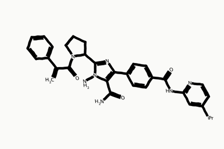 C=C(C(=O)N1CCCC1c1nc(-c2ccc(C(=O)Nc3cc(C(C)C)ccn3)cc2)c(C(N)=O)n1N)c1ccccc1